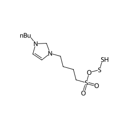 CCCCN1C=CN(CCCCS(=O)(=O)OSS)C1